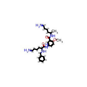 COc1ccc(NC(=O)C(CCCCN)NCc2ccccc2)cc1C(=O)NC(C)CCCCN